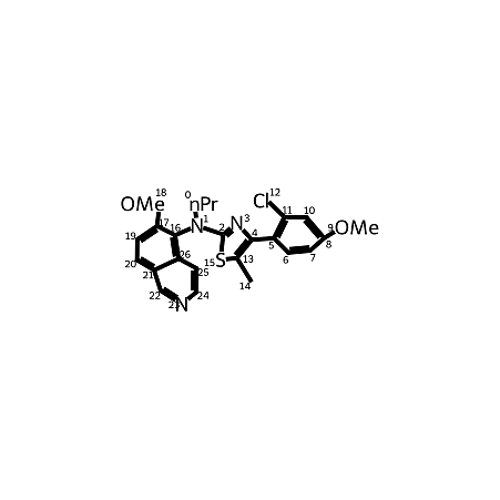 CCCN(c1nc(-c2ccc(OC)cc2Cl)c(C)s1)c1c(OC)ccc2cnccc12